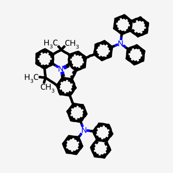 CC1(C)c2cccc3c2-n2c4c1cc(-c1ccc(N(c5ccccc5)c5cccc6ccccc56)cc1)cc4c1cc(-c4ccc(N(c5ccccc5)c5cccc6ccccc56)cc4)cc(c12)C3(C)C